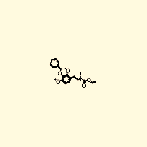 CCOC(=O)NCCc1ccc(OC)c(OCc2ccccc2)c1OC